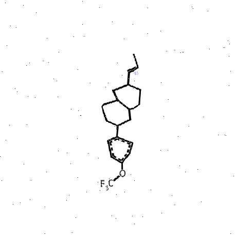 C/C=C/C1CCC2CC(c3ccc(OC(F)(F)F)cc3)CCC2C1